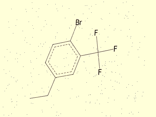 CCc1ccc(Br)c(C(F)(F)F)c1